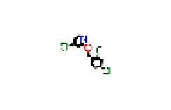 Clc1ccnc(OCc2ccc(Cl)cc2Cl)c1